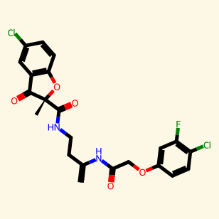 C=C(CCNC(=O)[C@@]1(C)Oc2ccc(Cl)cc2C1=O)NC(=O)COc1ccc(Cl)c(F)c1